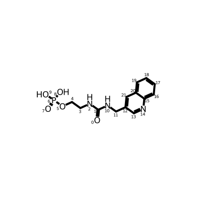 O=C(NCCOP(=O)(O)O)NCc1cnc2ccccc2c1